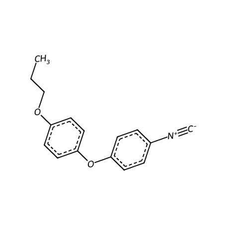 [C-]#[N+]c1ccc(Oc2ccc(OCCC)cc2)cc1